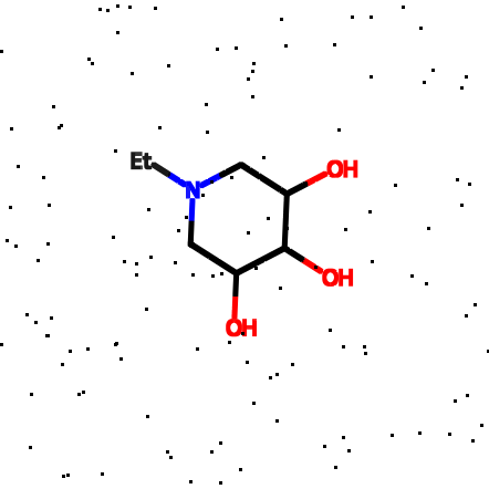 CCN1CC(O)C(O)C(O)C1